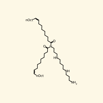 CCCCCCCC/C=C\CCCCCCCC(=O)N(CCCNCCCCNCCCN)C(=O)CCCCCCC/C=C\CCCCCCCC